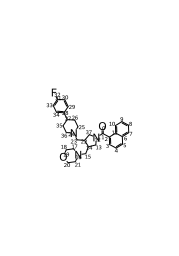 O=C(c1cccc2ccccc12)N1CC(CN2CCOCC2)C(CN2CCC(c3ccc(F)cc3)CC2)C1